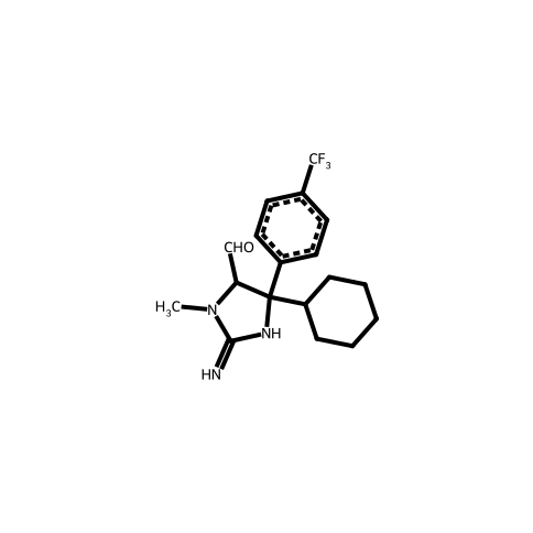 CN1C(=N)NC(c2ccc(C(F)(F)F)cc2)(C2CCCCC2)C1C=O